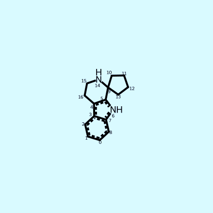 c1ccc2c3c([nH]c2c1)C1(CCCC1)NCC3